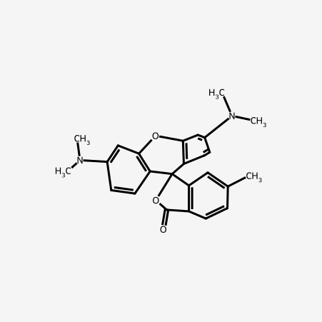 Cc1ccc2c(c1)C1(OC2=O)c2ccc(N(C)C)cc2Oc2cc(N(C)C)ccc21